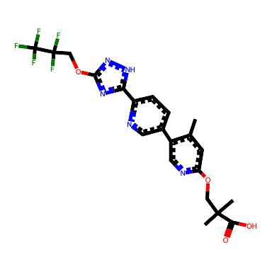 Cc1cc(OCC(C)(C)C(=O)O)ncc1-c1ccc(-c2nc(OCC(F)(F)C(F)(F)F)n[nH]2)nc1